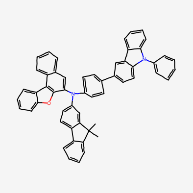 CC1(C)c2ccccc2-c2ccc(N(c3ccc(-c4ccc5c(c4)c4ccccc4n5-c4ccccc4)cc3)c3cc4ccccc4c4c3oc3ccccc34)cc21